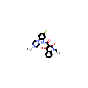 CC(C)Cn1c(=O)c(C(=O)Nc2cc(F)ccc2N2CCN(C)CC2)c(O)c2ccccc21